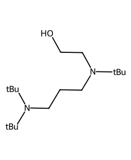 CC(C)(C)N(CCO)CCCN(C(C)(C)C)C(C)(C)C